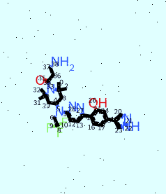 CC1(C)CC(N(CC(F)(F)F)c2ccc(-c3ccc(-c4cn[nH]c4)cc3O)nn2)CC(C)(C)N1C(=O)CCN